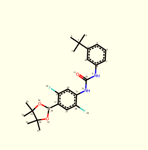 CC(C)(C)c1cccc(NC(=O)Nc2cc(F)c(B3OC(C)(C)C(C)(C)O3)cc2F)c1